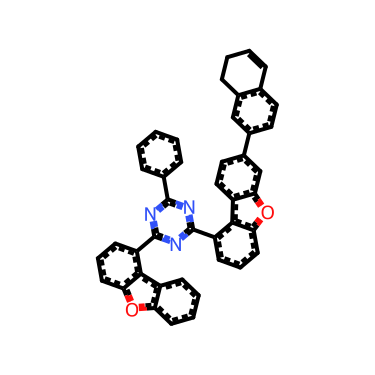 C1=Cc2ccc(-c3ccc4c(c3)oc3cccc(-c5nc(-c6ccccc6)nc(-c6cccc7oc8ccccc8c67)n5)c34)cc2CC1